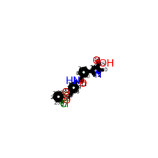 Cc1ncc(-c2cccc(C(=O)Nc3ccc(CS(=O)(=O)c4ccccc4Cl)cc3)c2)cc1C(=O)O